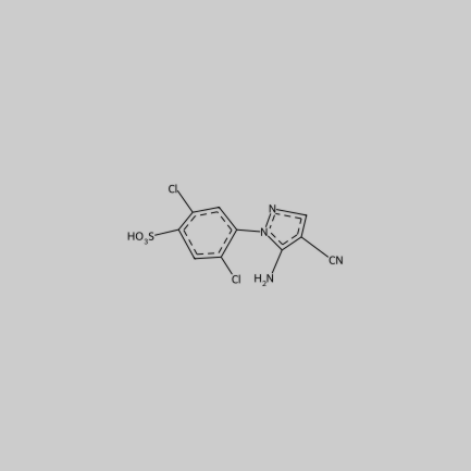 N#Cc1cnn(-c2cc(Cl)c(S(=O)(=O)O)cc2Cl)c1N